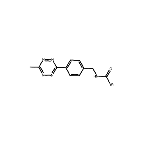 Cc1nnc(-c2ccc(CNC(=O)C(C)C)cc2)nn1